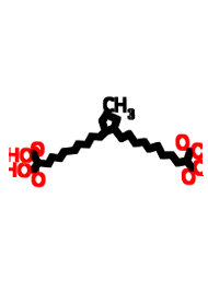 CC1CC(CCCCCCCCCC(C(=O)O)C(=O)O)C(CCCCCCCCCC(C(=O)O)C(=O)O)C1